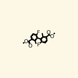 COC(=O)c1ccc(F)c(-c2c(F)ccc(C(=O)OC)c2C)c1C